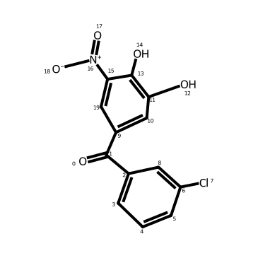 O=C(c1cccc(Cl)c1)c1cc(O)c(O)c([N+](=O)[O-])c1